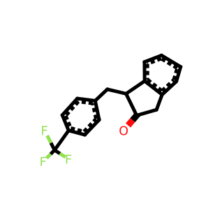 O=C1Cc2ccccc2C1Cc1ccc(C(F)(F)F)cc1